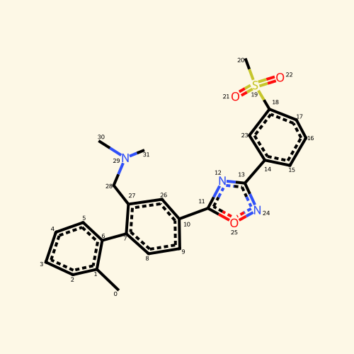 Cc1ccccc1-c1ccc(-c2nc(-c3cccc(S(C)(=O)=O)c3)no2)cc1CN(C)C